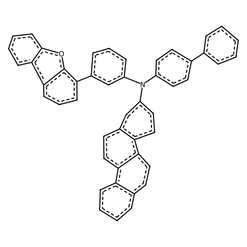 c1ccc(-c2ccc(N(c3cccc(-c4cccc5c4oc4ccccc45)c3)c3ccc4c(ccc5c6ccccc6ccc45)c3)cc2)cc1